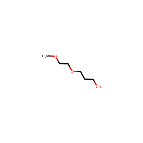 O=[N+]([O-])OCCOCCCO